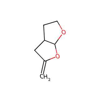 C=C1CC2CCOC2O1